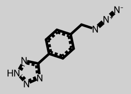 [N-]=[N+]=NCc1ccc(-c2nn[nH]n2)cc1